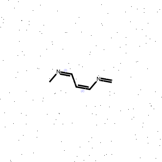 C=N/C=C\C=N/C